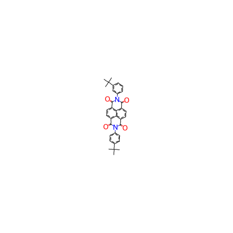 CC(C)(C)c1ccc(N2C(=O)c3ccc4c5c(ccc(c35)C2=O)C(=O)N(c2cccc(C(C)(C)C)c2)C4=O)cc1